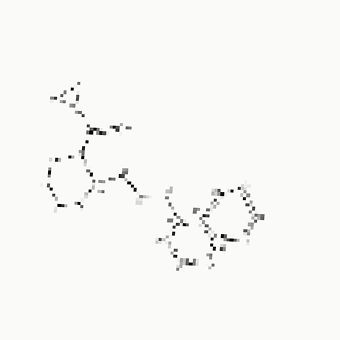 O=C(C1CC1)N1CCCCC1CC=Cc1cccc2ccccc12